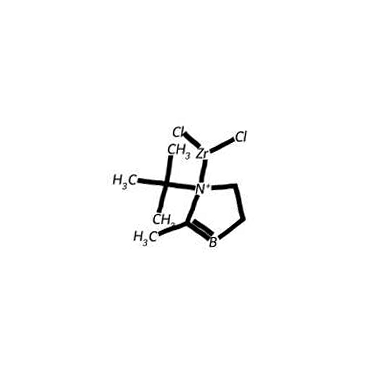 CC1=BCC[N+]1([Zr]([Cl])[Cl])C(C)(C)C